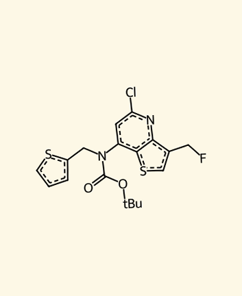 CC(C)(C)OC(=O)N(Cc1cccs1)c1cc(Cl)nc2c(CF)csc12